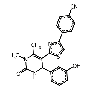 CC1=C(c2nc(-c3ccc(C#N)cc3)cs2)C(c2cccc(O)c2)NC(=O)N1C